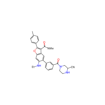 CCNc1cc2oc(-c3ccc(C)cc3)c(C(=O)NC)c2cc1-c1cccc(C(=O)N2CCNC(C#N)C2)c1